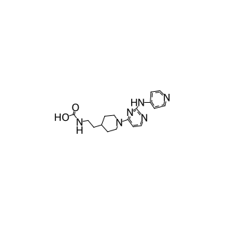 O=C(O)NCCC1CCN(c2ccnc(Nc3ccncc3)n2)CC1